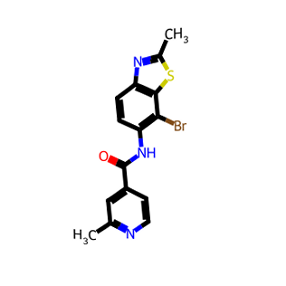 Cc1cc(C(=O)Nc2ccc3nc(C)sc3c2Br)ccn1